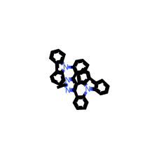 Cc1nc(-c2ccccc2-n2c3ccccc3c3ccccc32)c(C)c(-c2ccccc2-n2c3ccccc3c3ccccc32)n1